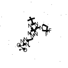 Cn1c(Cn2nc3nc(C(C)(C)C)nc(N4CCC(F)(F)C4)c3n2)nnc1S(C)(=O)=O